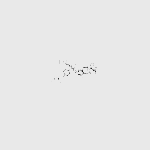 COC(=O)CCC1CCC(N(CCO)C(=O)Nc2ccc3c(c2)CCN(C(=O)C(F)(F)F)CC3)CC1